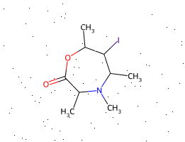 CC1OC(=O)C(C)N(C)C(C)C1I